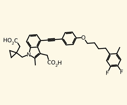 Cc1cc(F)c(F)cc1CCCCOc1ccc(C#Cc2cccc3c2c(CC(=O)O)c(C)n3CC2(CC(=O)O)CC2)cc1